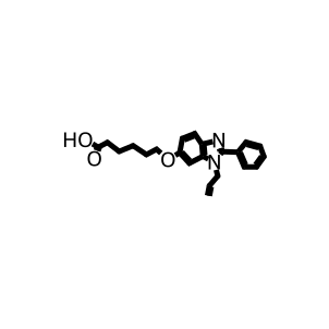 C=CCn1c(-c2ccccc2)nc2ccc(OCCCCCC(=O)O)cc21